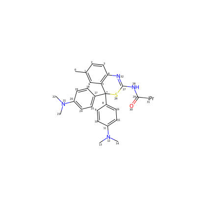 Cc1ccc2c(c1)C(c1ccc(N(C)C)cc1)(c1ccc(N(C)C)cc1)SC(NC(=O)C(C)C)=N2